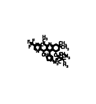 CC(C)c1nc2c(c(C3=CCCC3)c1C(O)c1ccc(C(F)(F)F)cn1)[C@@H](O[Si](C)(C)C(C)(C)C)CC(C)(C)C2